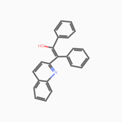 OC(=C(c1ccccc1)c1ccc2ccccc2n1)c1ccccc1